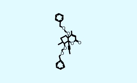 CC#CC12OC(=O)C=C(C)[C@@]1(OCOCc1ccccc1)CCC(C)C2OCOCc1ccccc1